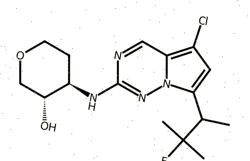 CC(c1cc(Cl)c2cnc(N[C@@H]3CCOC[C@H]3O)nn12)C(C)(C)F